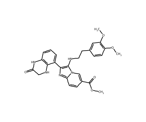 COC(=O)c1ccc2nc(-c3cccc4c3NCC(=O)N4)c(NCCc3ccc(OC)c(OC)c3)n2c1